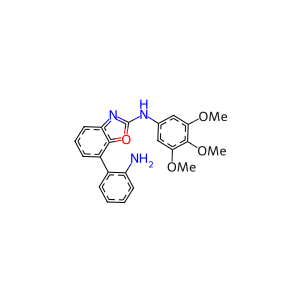 COc1cc(Nc2nc3cccc(-c4ccccc4N)c3o2)cc(OC)c1OC